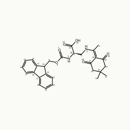 CC(NC[C@@H](NC(=O)OCC1c2ccccc2-c2ccccc21)C(=O)O)=C1C(=O)CC(C)(C)CC1=O